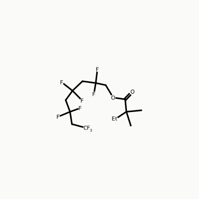 CCC(C)(C)C(=O)OCC(F)(F)CC(F)(F)CC(F)(F)CC(F)(F)F